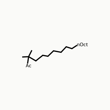 CCCCCCCCCCCCCCCC(C)(C)C(C)=O